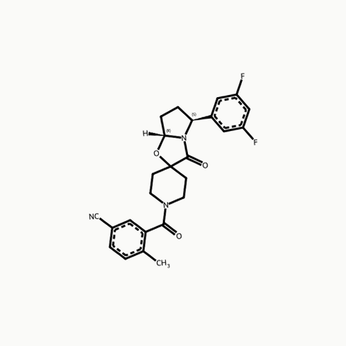 Cc1ccc(C#N)cc1C(=O)N1CCC2(CC1)O[C@@H]1CC[C@@H](c3cc(F)cc(F)c3)N1C2=O